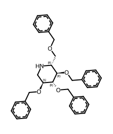 c1ccc(COC[C@H]2NC[C@H](OCc3ccccc3)[C@@H](OCc3ccccc3)[C@@H]2OCc2ccccc2)cc1